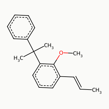 CC=Cc1cccc(C(C)(C)c2ccccc2)c1OC